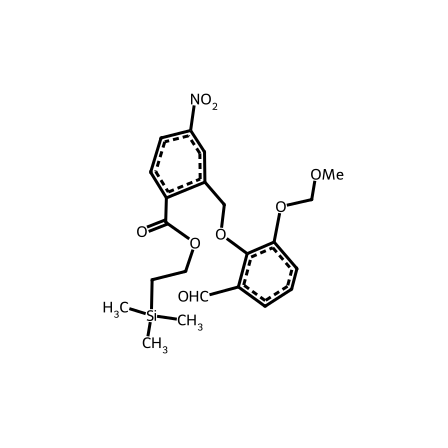 COCOc1cccc(C=O)c1OCc1cc([N+](=O)[O-])ccc1C(=O)OCC[Si](C)(C)C